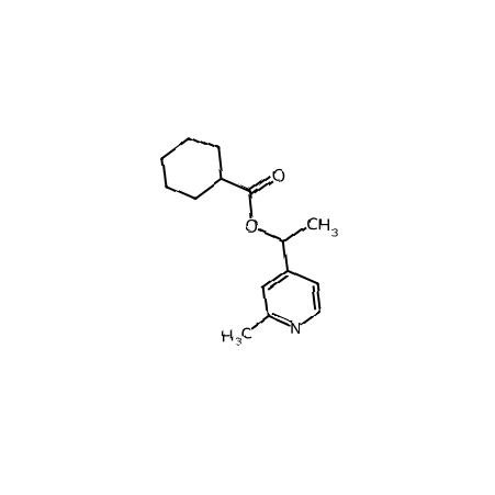 Cc1cc(C(C)OC(=O)C2CCCCC2)ccn1